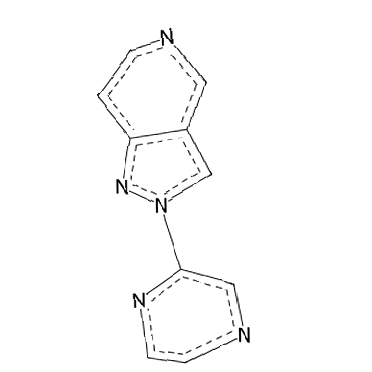 c1cnc(-n2cc3cnccc3n2)cn1